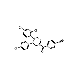 N#Cc1ccc(C(=O)N2CCN(c3ccc(Cl)cc3Cl)C(c3ccc(Cl)cc3)C2)cc1